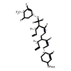 C=C[C@H](F)C(C/C=C(/F)C([C@@H](F)C=C)C(F)(F)O[C@H]1C=C(F)[C@@H](C(F)(F)F)C(F)C1)/C(F)=C\C[C@H]1CCC(CCCCC)C=C1F